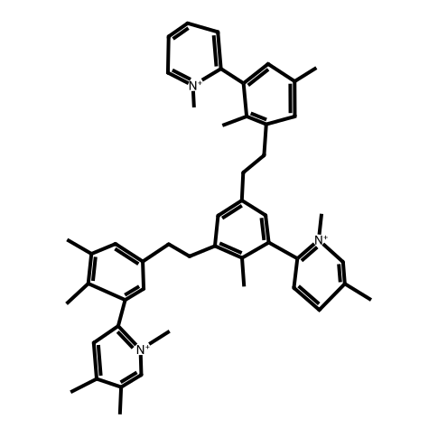 Cc1cc(CCc2cc(CCc3cc(C)c(C)c(-c4cc(C)c(C)c[n+]4C)c3)c(C)c(-c3ccc(C)c[n+]3C)c2)c(C)c(-c2cccc[n+]2C)c1